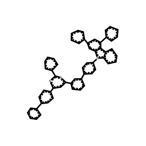 c1ccc(-c2ccc(-c3cc(-c4cccc(-c5ccc(-n6c7ccccc7c7c(-c8ccccc8)cc(-c8ccccc8)cc76)cc5)c4)nc(-c4ccccc4)n3)cc2)cc1